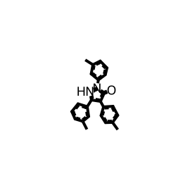 Cc1ccc(-c2c(-c3cccc(C)c3)[nH]n(-c3cccc(C)c3)c2=O)cc1